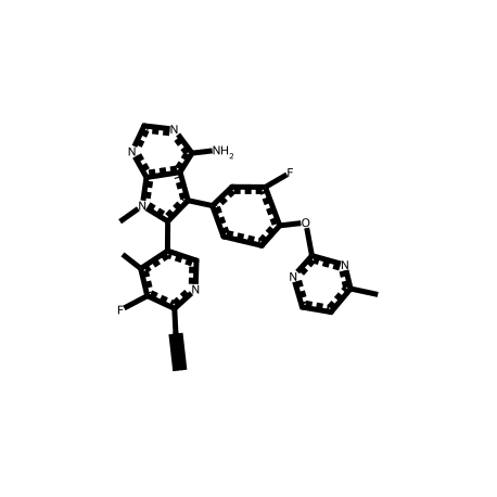 C#Cc1ncc(-c2c(-c3ccc(Oc4nccc(C)n4)c(F)c3)c3c(N)ncnc3n2C)c(C)c1F